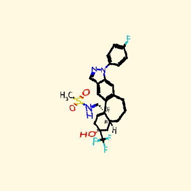 CS(=O)(=O)NC[C@@]12CC[C@](O)(C(F)(F)F)C[C@H]1CCCc1cc3c(cnn3-c3ccc(F)cc3)cc12